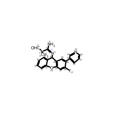 CN(C=O)/C(N)=N\C1c2ccccc2Oc2cc(F)c(-c3cccnc3)cc21